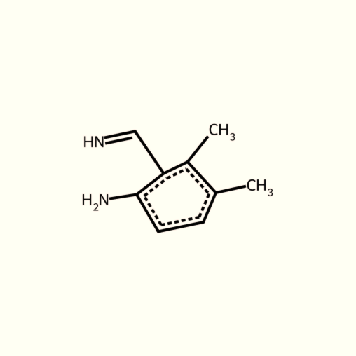 Cc1ccc(N)c(C=N)c1C